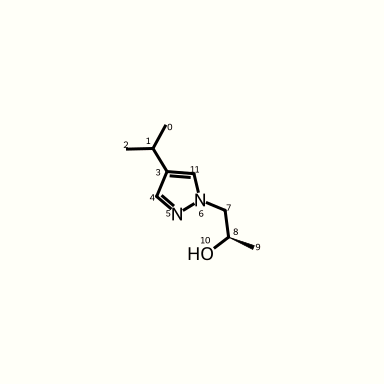 CC(C)c1cnn(C[C@@H](C)O)c1